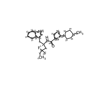 CCC(F)(F)CC(Cc1c[nH]c2ccccc12)NC(=O)c1cnc(N2CCN(C)CC2)s1